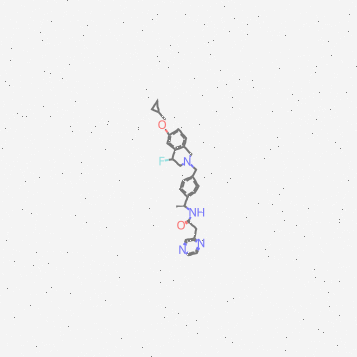 C[C@H](NC(=O)Cc1cnccn1)c1ccc(CN2Cc3ccc(OCC4CC4)cc3C(F)C2)cc1